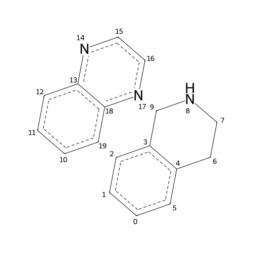 c1ccc2c(c1)CCNC2.c1ccc2nccnc2c1